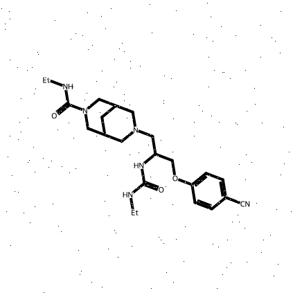 CCNC(=O)NC(COc1ccc(C#N)cc1)CN1CC2CC(C1)CN(C(=O)NCC)C2